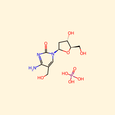 Nc1nc(=O)n([C@H]2C[C@H](O)[C@@H](CO)O2)cc1CO.O=P(O)(O)O